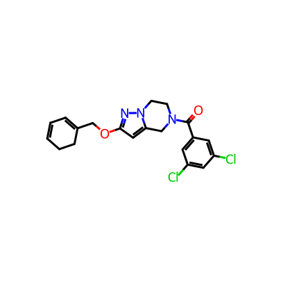 O=C(c1cc(Cl)cc(Cl)c1)N1CCn2nc(OCC3=CC=CCC3)cc2C1